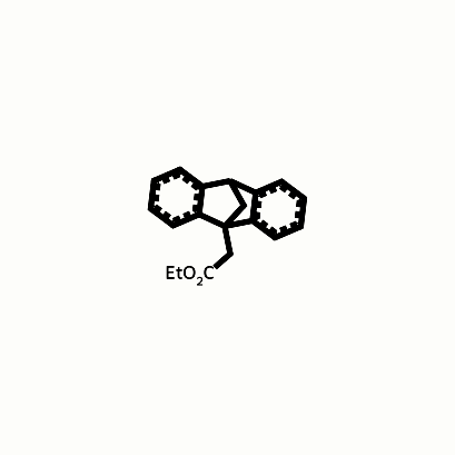 CCOC(=O)CC12CC(c3ccccc31)c1ccccc12